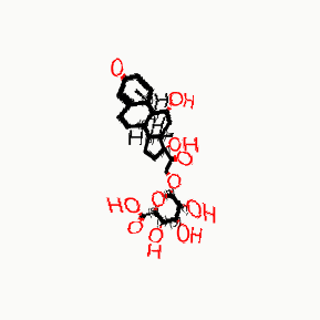 C[C@]12C=CC(=O)C=C1CC[C@@H]1[C@@H]2C(O)C[C@@]2(C)[C@H]1CC[C@]2(O)C(=O)CO[C@@H]1O[C@H](C(=O)O)[C@@H](O)[C@H](O)[C@H]1O